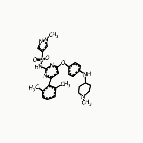 Cc1cccc(C)c1-c1cc(Oc2ccc(NC3CCN(C)CC3)cc2)nc(NS(=O)(=O)c2cnn(C)c2)n1